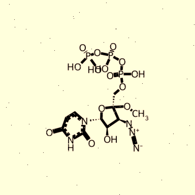 CO[C@]1(COP(=O)(O)OP(=O)(O)OP(=O)(O)O)O[C@@H](n2ccc(=O)[nH]c2=O)[C@H](O)[C@@H]1N=[N+]=[N-]